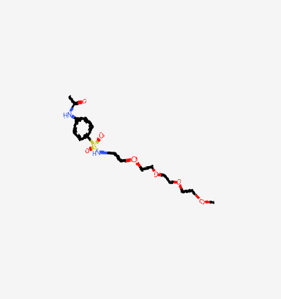 COCCOCCOCCOCCNS(=O)(=O)c1ccc(NC(C)=O)cc1